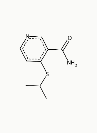 CC(C)Sc1ccncc1C(N)=O